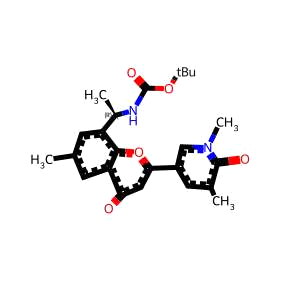 Cc1cc([C@@H](C)NC(=O)OC(C)(C)C)c2oc(-c3cc(C)c(=O)n(C)c3)cc(=O)c2c1